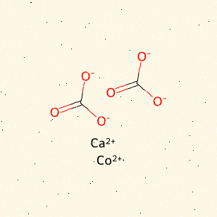 O=C([O-])[O-].O=C([O-])[O-].[Ca+2].[Co+2]